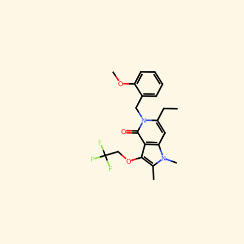 CCc1cc2c(c(OCC(F)(F)F)c(C)n2C)c(=O)n1Cc1ccccc1OC